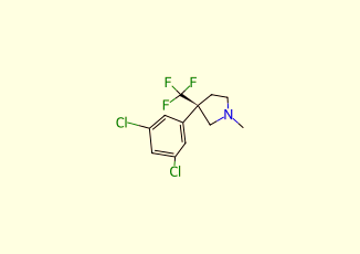 CN1CC[C@](c2cc(Cl)cc(Cl)c2)(C(F)(F)F)C1